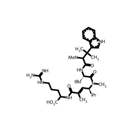 CNC(C(=O)N[C@H](C(=O)N(C)[C@H](/C=C(\C)C(=O)NC(CCCNC(=N)N)C(=O)O)C(C)C)C(C)(C)C)C(C)(C)c1c[nH]c2ccccc12